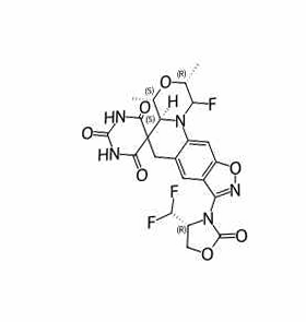 C[C@@H]1O[C@H](C)C(F)N2c3cc4onc(N5C(=O)OC[C@@H]5C(F)F)c4cc3CC3(C(=O)NC(=O)NC3=O)[C@@H]12